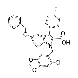 O=C(O)c1c(-c2ccc(F)cc2)c2cc(OCc3ccccc3)ccc2n1Cc1cc2c(cc1Cl)OCO2